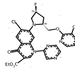 CCOC(=O)c1cn(-c2cnccn2)c2cc(N3C[C@@H](F)C[C@@H]3COc3ncccc3Cl)c(Cl)cc2c1=O